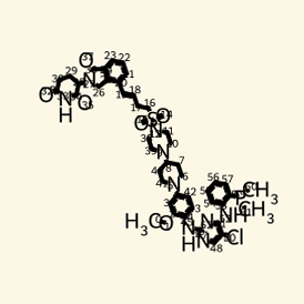 COc1cc(N2CCC(N3CCN(S(=O)(=O)CCC=Cc4cccc5c4CN(C4CCC(=O)NC4=O)C5=O)CC3)CC2)ccc1Nc1ncc(Cl)c(Nc2ccccc2P(C)C)n1